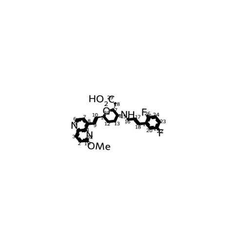 COc1ccc2nccc(C=C[C@@H]3CC[C@@H](NCC=Cc4cc(F)ccc4F)[C@@H](CC(=O)O)O3)c2n1